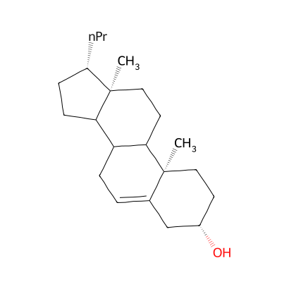 CCC[C@H]1CCC2C3CC=C4C[C@@H](O)CC[C@]4(C)C3CC[C@@]21C